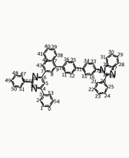 c1ccc(-c2cc(-c3cc(-c4ccc(-c5ccc(-n6c(-c7ccccc7)nc7ccccc76)cc5)cc4)c4ccccc4c3)nc(-c3ccccc3)n2)cc1